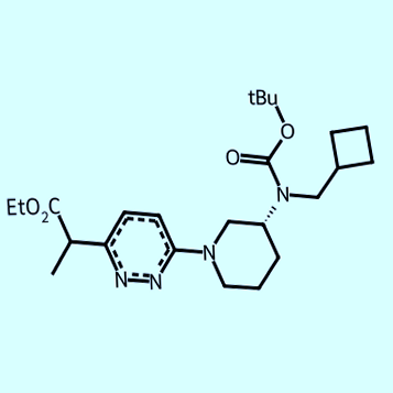 CCOC(=O)C(C)c1ccc(N2CCC[C@@H](N(CC3CCC3)C(=O)OC(C)(C)C)C2)nn1